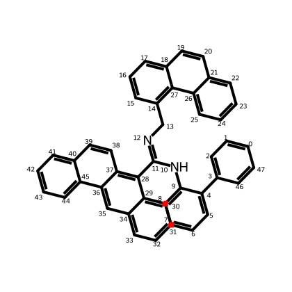 c1ccc(-c2ccccc2N/C(=N\Cc2cccc3ccc4ccccc4c23)c2c3ccccc3cc3c2ccc2ccccc23)cc1